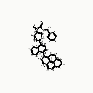 C[C@H](c1ccccc1)n1c(=O)n(C)c2cnc(-c3ccc(-c4ccc5ccc6cccc7ccc4c5c67)c4ccccc34)nc21